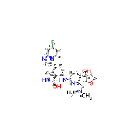 CN(C)Cc1nc(Nc2ccc(-c3cnc4cc(F)ccn34)c3c2C(O)NC3)ccc1[C@]1(O)CCOC1